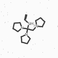 C=C[SiH2]C(CN1CCCC1)(N1CCCC1)N1CCCC1